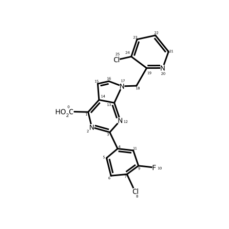 O=C(O)c1nc(-c2ccc(Cl)c(F)c2)nc2c1ccn2Cc1ncccc1Cl